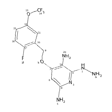 NNc1nc(N)cc(OCc2cc(OC(F)(F)F)ccc2F)c1N